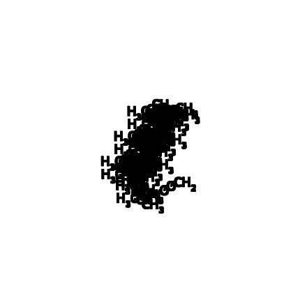 C=COCOCCCC[Si](C)(C)O[Si](C)(C)O[Si](C)(C)O[Si](C)(C)O[Si](C)(C)O[Si](C)(C)O[Si](C)(C)O[Si](C)(C)O[Si](C)(C)O[Si](C)(C)O[Si](C)(C)O[Si](C)(C)O[Si](C)(C)O[Si](C)(C)O[Si](C)(C)O[Si](C)(C)O[Si](C)(C)O[Si](C)(C)O[Si](C)(C)O[Si](C)(C)O[Si](C)(C)O[Si](C)(C)O[Si](C)(C)O[Si](C)(C)O[Si](C)(C)O[Si](C)(C)O[Si](C)(C)C